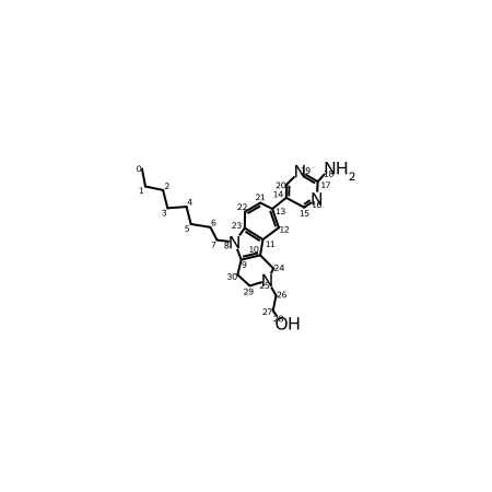 CCCCCCCCn1c2c(c3cc(-c4cnc(N)nc4)ccc31)CN(CCO)CC2